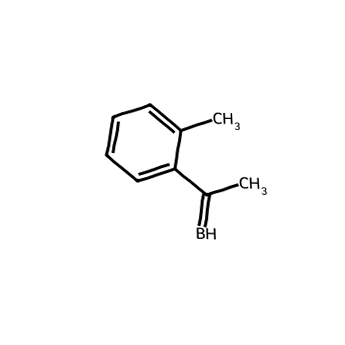 B=C(C)c1ccccc1C